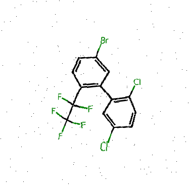 FC(F)(F)C(F)(F)c1c[c]c(Br)cc1-c1cc(Cl)ccc1Cl